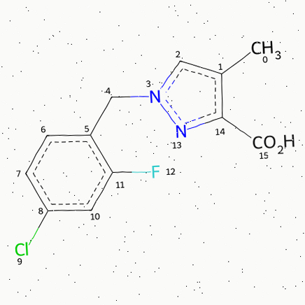 Cc1cn(Cc2ccc(Cl)cc2F)nc1C(=O)O